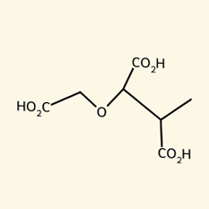 CC(C(=O)O)C(OCC(=O)O)C(=O)O